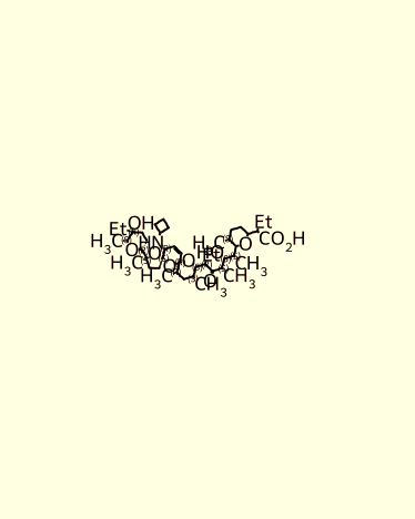 CCC(C(=O)O)C1CC[C@H](C)C([C@@H](C)[C@H](O)[C@H](C)C(=O)[C@H](CC)[C@H]2O[C@]3(C=C[C@@H](NC4CCC4)[C@]4(CC[C@@](C)([C@H]5CC[C@](O)(CC)[C@H](C)O5)O4)O3)[C@H](C)C[C@@H]2C)O1